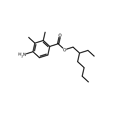 CCCCC(CC)COC(=O)c1ccc(N)c(C)c1C